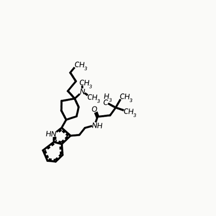 CCCCC1(N(C)C)CCC(c2[nH]c3ccccc3c2CCNC(=O)CC(C)(C)C)CC1